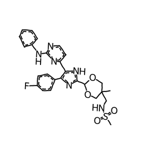 CC1(CNS(C)(=O)=O)COC(c2nc(-c3ccc(F)cc3)c(-c3ccnc(Nc4ccccc4)n3)[nH]2)OC1